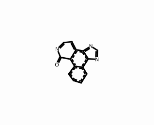 O=C1N=CC=c2c1c1ccccc1c1c2=NC=N1